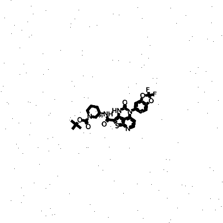 CC(C)(C)OC(=O)N1CCC[C@@H](NC(=O)c2sc3nccc4c3c2NC(=O)N4c2ccc3c(c2)OC(F)(F)O3)C1